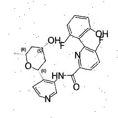 C[C@@H]1C[C@H](O)C[C@H](c2ccncc2NC(=O)c2ccc(F)c(-c3c(O)cccc3F)n2)O1